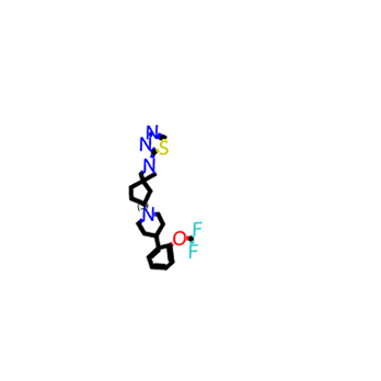 FC(F)Oc1ccccc1C1CCN([C@H]2CCC3(C2)CN(c2nncs2)C3)CC1